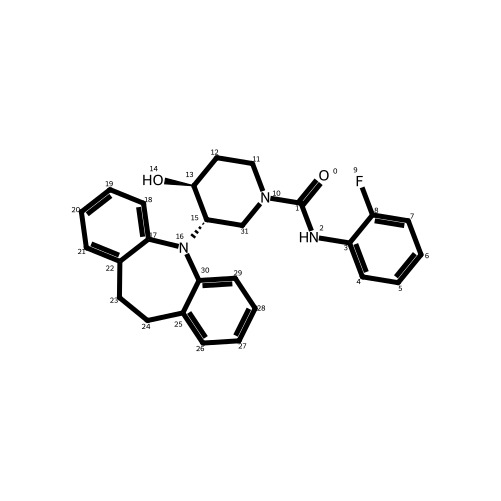 O=C(Nc1ccccc1F)N1CC[C@H](O)[C@@H](N2c3ccccc3CCc3ccccc32)C1